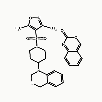 Cc1noc(C)c1S(=O)(=O)N1CCC(N2COCc3ccccc32)CC1.O=c1nc2ccccc2co1